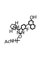 CC(=O)NC(C)(C)COc1nc(N2C[C@H]3CC[C@@H](C2)N3)c2ccc(-c3cc(O)cc4ccccc34)c(F)c2n1